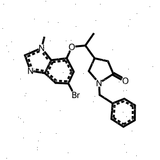 CC(Oc1cc(Br)cc2ncn(C)c12)C1CC(=O)N(Cc2ccccc2)C1